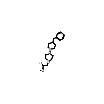 COC(=O)CN1CCN(N2CCC(Cc3ccccc3)CC2)CC1